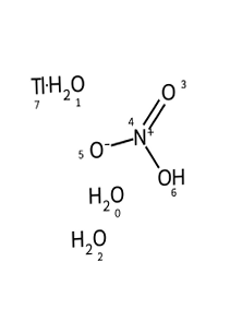 O.O.O.O=[N+]([O-])O.[Tl]